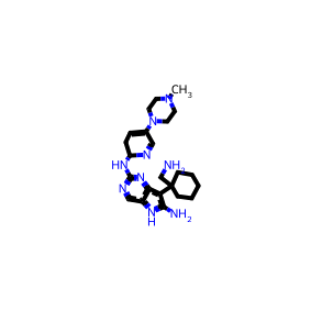 CN1CCN(C2=CCC(Nc3ncc4[nH]c(N)c(C5(CN)CCCCC5)c4n3)N=C2)CC1